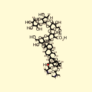 C/C=C(/C)C(=O)O[C@H]1[C@H](OC(=O)/C(C)=C\C)[C@@]23C(CC1(C)C)[C@]1(CCC4[C@@]5(C)CC[C@H](O[C@@H]6OC(C(=O)O)[C@@H](O)[C@@H](O[C@@H]7OC(CO)[C@H](O)[C@@H](O)C7O[C@@H]7OC(C)[C@H](O)[C@H](O)C7O[C@@H]7OC(C)[C@H](O)[C@H](O)C7O)C6O[C@@H]6OC(CO)[C@H](O)[C@@H](O)C6O)C(C)(C)C5CC[C@@]4(C)[C@]1(C)C[C@H]2O)O[C@@H]3O